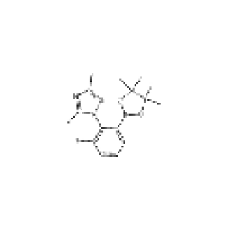 Cc1nc(C)n(-c2c(F)cccc2B2OC(C)(C)C(C)(C)O2)n1